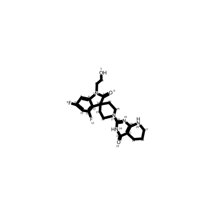 O=C1N(CCO)c2cc(F)cc(F)c2C12CCN(c1nc3c(c(=O)[nH]1)CCCN3)CC2